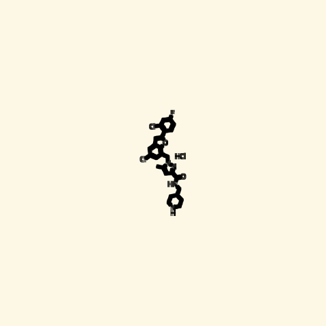 Cc1cc(C(=O)NCC2CCNCC2)nn1Cc1cc(Cl)cc2cc(-c3ccc(F)cc3Cl)oc12.Cl